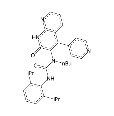 CCCCN(C(=O)Nc1c(C(C)C)cccc1C(C)C)c1c(-c2ccncc2)c2cccnc2[nH]c1=O